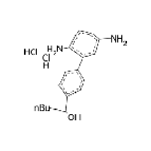 CCCCC(O)c1ccc(-c2cc(N)ccc2N)cc1.Cl.Cl